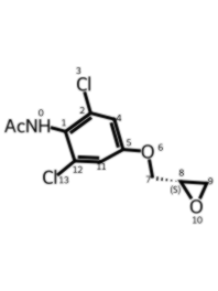 CC(=O)Nc1c(Cl)cc(OC[C@@H]2CO2)cc1Cl